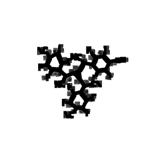 C#Cc1c(F)c(F)c(C(C#N)=C2C(C(C#N)c3c(F)c(F)c(C#N)c(F)c3F)C2C(C#N)c2c(F)c(F)c(C#N)c(F)c2F)c(F)c1F